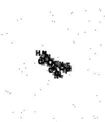 Cn1cc(N(Cc2ccc(C(F)(F)F)cn2)C(=O)c2cc3c4c(c(N)nc3cc2Cl)COC4)cn1